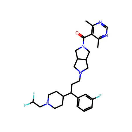 Cc1ncnc(C)c1C(=O)N1CC2CN(CCC(c3cccc(F)c3)C3CCN(CC(F)F)CC3)CC2C1